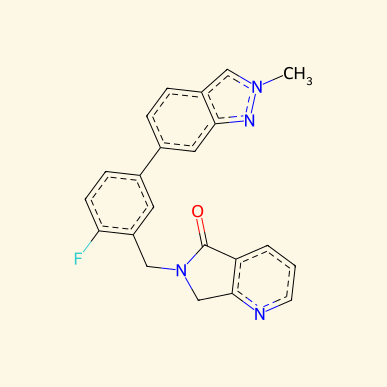 Cn1cc2ccc(-c3ccc(F)c(CN4Cc5ncccc5C4=O)c3)cc2n1